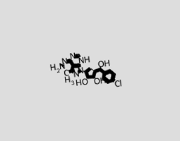 Cc1nn([C@@H]2C[C@H]([C@H](O)c3ccc(Cl)cc3)[C@@H](O)[C@H]2O)c2[nH]cn/c(=N/N)c12